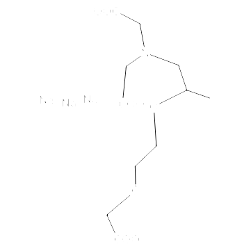 CC(CN(CC(=O)[O-])CC(=O)[O-])OCCOCC(=O)[O-].[Na+].[Na+].[Na+]